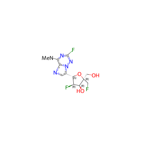 CNc1nc(F)nn2c([C@@H]3O[C@@](CO)(CF)[C@@H](O)[C@H]3F)cnc12